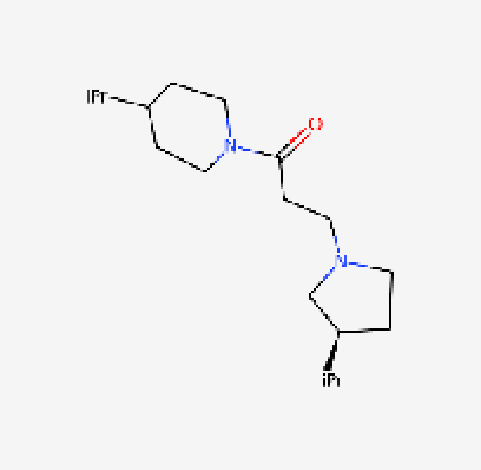 CC(C)C1CCN(C(=O)CCN2CC[C@@H](C(C)C)C2)CC1